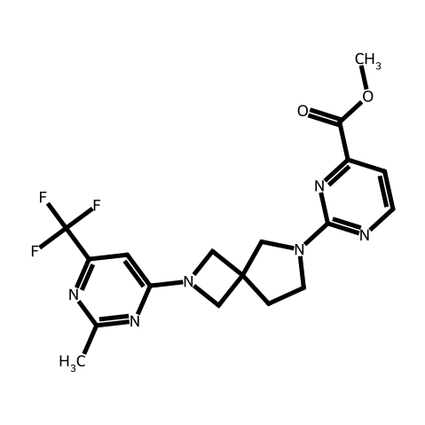 COC(=O)c1ccnc(N2CCC3(CN(c4cc(C(F)(F)F)nc(C)n4)C3)C2)n1